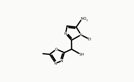 CCn1c([N+](=O)[O-])cnc1C(S)c1nnc(C)o1